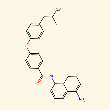 COC(C)Cc1ccc(Oc2ccc(C(=O)Nc3cccc4c(N)cccc34)cc2)cc1